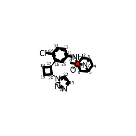 CC1CC2CC(C1)N2C(=O)Nc1ccc(Cl)c([C@@H]2CC[C@H]2n2ccnn2)c1